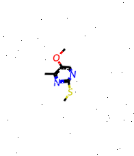 COc1cnc(SC)nc1C